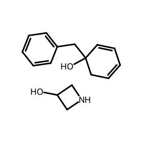 OC1(Cc2ccccc2)C=CC=CC1.OC1CNC1